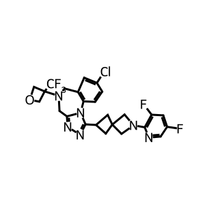 Fc1cnc(N2CC3(CC(c4nnc5n4-c4ccc(Cl)cc4CN(C4(C(F)(F)F)COC4)C5)C3)C2)c(F)c1